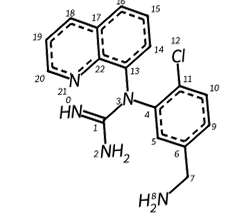 N=C(N)N(c1cc(CN)ccc1Cl)c1cccc2cccnc12